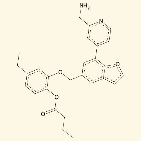 CCCC(=O)Oc1ccc(CC)cc1OCc1cc(-c2ccnc(CN)c2)c2occc2c1